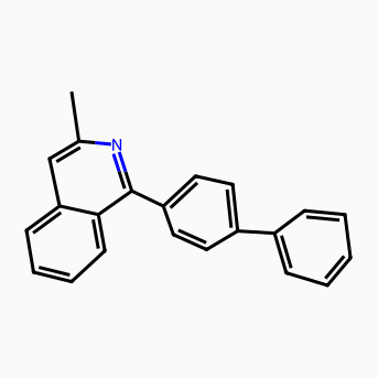 Cc1cc2ccccc2c(-c2ccc(-c3ccccc3)cc2)n1